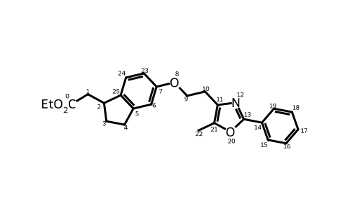 CCOC(=O)CC1CCc2cc(OCCc3nc(-c4ccccc4)oc3C)ccc21